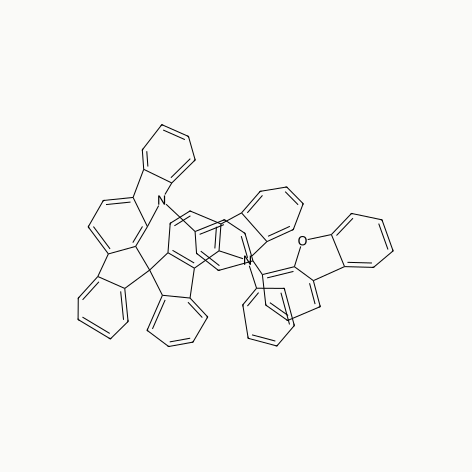 c1ccc(-n2c3ccccc3c3ccc4c(c32)-c2ccccc2C42c3ccccc3-c3ccc4c5ccccc5n(-c5ccc(-c6cccc7c6oc6ccccc67)cc5)c4c32)cc1